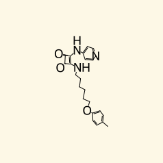 Cc1ccc(OCCCCCCNc2c(Nc3ccncc3)c(=O)c2=O)cc1